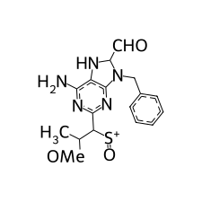 COC(C)C([S+]=O)c1nc(N)c2c(n1)N(Cc1ccccc1)C(C=O)N2